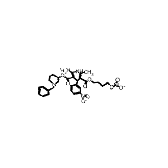 CC1=C(C(=O)OCCCCO[N+](=O)[O-])C(c2cccc([N+](=O)[O-])c2)C(C(=O)OC2CCCN(Cc3ccccc3)C2)=C(N)N1